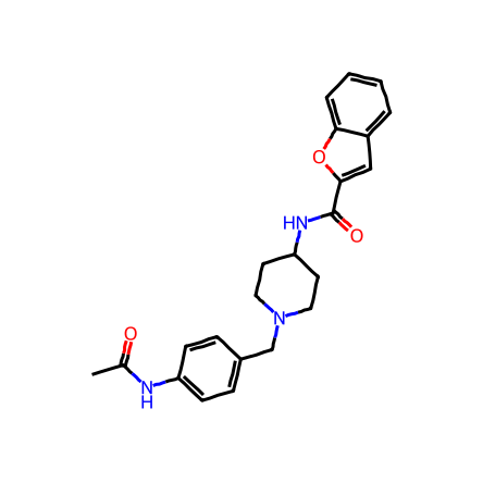 CC(=O)Nc1ccc(CN2CCC(NC(=O)c3cc4ccccc4o3)CC2)cc1